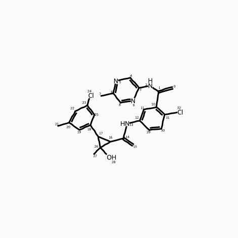 C=C(Nc1cnc(C)cn1)c1cc(NC(=C)C2C(c3cc(C)cc(Cl)c3)C2(C)O)ccc1Cl